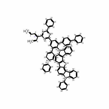 C=C/C=C(\C=C)c1nc(-c2ccccc2)nc(-c2cc(C3=CC[C@@H](c4ccccc4)C=C3)c(-n3c4ccccc4c4c5sc6c(ccc7c6c6ccccc6n7-c6ccccc6)c5ccc43)c(-c3ccc(-c4ccccc4)cc3)c2)n1